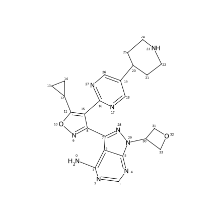 Nc1ncnc2c1c(-c1noc(C3CC3)c1-c1ncc(C3CCNCC3)cn1)nn2C1COC1